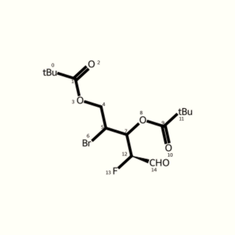 CC(C)(C)C(=O)OCC(Br)C(OC(=O)C(C)(C)C)[C@H](F)C=O